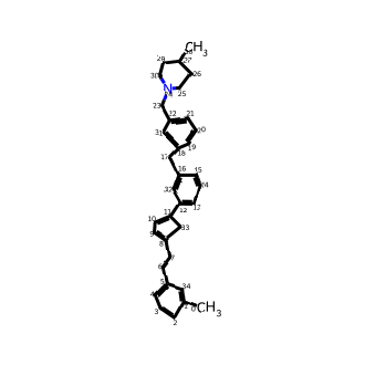 Cc1cccc(CCC2=CC=C(c3cccc(Cc4cccc(CN5CCC(C)CC5)c4)c3)C2)c1